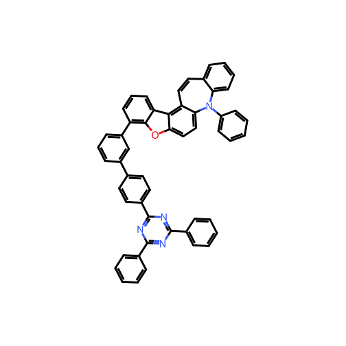 C1=Cc2c(ccc3oc4c(-c5cccc(-c6ccc(-c7nc(-c8ccccc8)nc(-c8ccccc8)n7)cc6)c5)cccc4c23)N(c2ccccc2)c2ccccc21